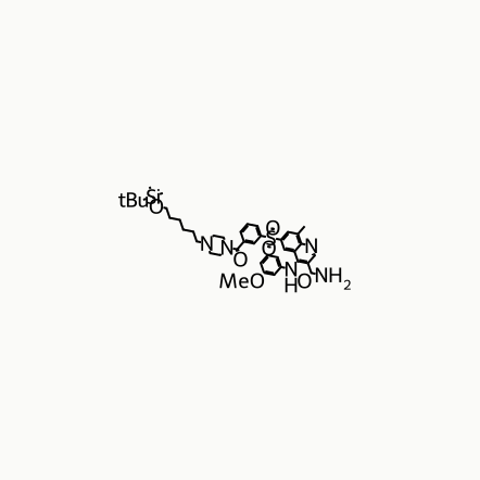 COc1cccc(Nc2c(C(N)=O)cnc3c(C)cc(S(=O)(=O)c4cccc(C(=O)N5CCN(CCCCCCO[Si](C)(C)C(C)(C)C)CC5)c4)cc23)c1